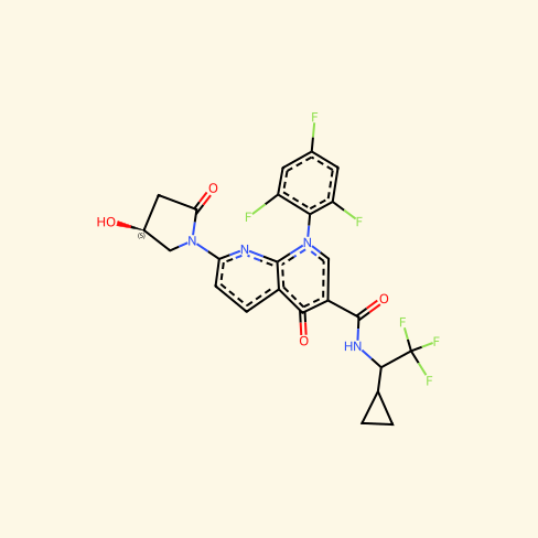 O=C(NC(C1CC1)C(F)(F)F)c1cn(-c2c(F)cc(F)cc2F)c2nc(N3C[C@@H](O)CC3=O)ccc2c1=O